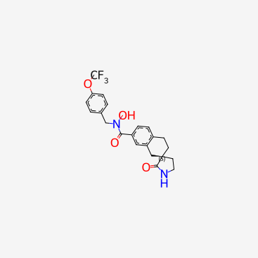 O=C(c1ccc2c(c1)C[C@]1(CCNC1=O)CC2)N(O)Cc1ccc(OC(F)(F)F)cc1